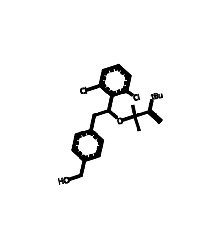 C=C(C(C)(C)C)C(C)(C)OC(Cc1ccc(CO)cc1)c1c(Cl)cccc1Cl